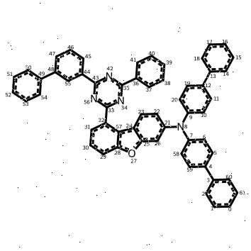 c1ccc(-c2ccc(N(c3ccc(-c4ccccc4)cc3)c3ccc4c(c3)oc3cccc(-c5nc(-c6ccccc6)nc(-c6cccc(-c7ccccc7)c6)n5)c34)cc2)cc1